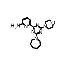 Nc1cccc(-c2nc(N3CCCCCC3)nc(N3CCOCC3)n2)n1